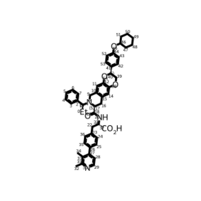 CC[C@@H](c1ccccc1)N1Cc2cc3c(cc2C[C@H]1C(=O)N[C@@H](Cc1ccc(-c2ccnc(C)c2C)cc1)C(=O)O)OC[C@H](c1ccc(OC2CCCCC2)cc1)O3